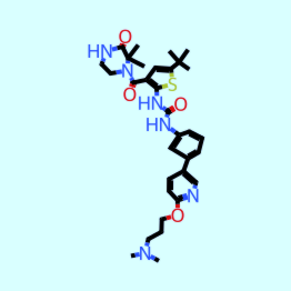 CN(C)CCCOc1ccc(-c2cccc(NC(=O)Nc3sc(C(C)(C)C)cc3C(=O)N3CCNC(=O)C3(C)C)c2)cn1